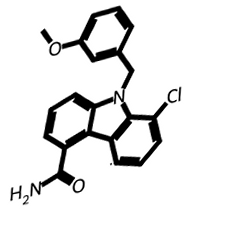 COc1cccc(Cn2c3cccc(C(N)=O)c3c3[c]ccc(Cl)c32)c1